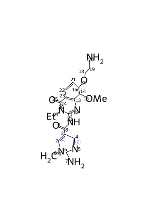 C=N/C=C(\C=N/CN)C(=O)Nc1nc2c(OC)c(OCCN)ccc2c(=O)n1CC